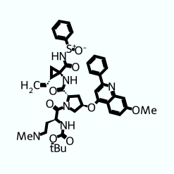 C=C[C@@H]1C[C@]1(NC(=O)[C@@H]1C[C@@H](Oc2cc(-c3ccccc3)nc3cc(OC)ccc23)CN1C(=O)[C@H](CCNC)NC(=O)OC(C)(C)C)C(=O)N[S+]([O-])c1ccccc1